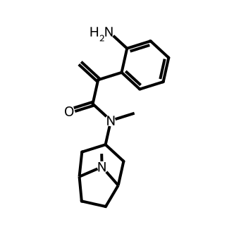 C=C(C(=O)N(C)C1CC2CCC(C1)N2C)c1ccccc1N